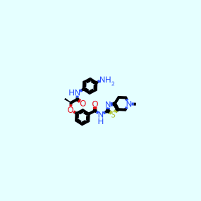 C[C@H](Oc1cccc(C(=O)Nc2nc3c(s2)CN(C)CC3)c1)C(=O)Nc1ccc(N)cc1